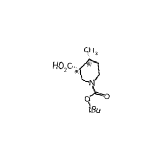 C[C@@H]1CCN(C(=O)OC(C)(C)C)C[C@@H]1C(=O)O